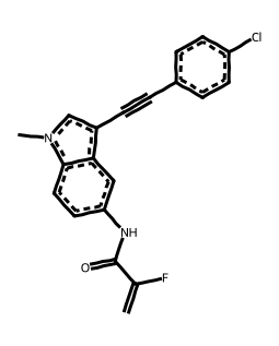 C=C(F)C(=O)Nc1ccc2c(c1)c(C#Cc1ccc(Cl)cc1)cn2C